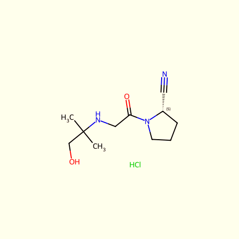 CC(C)(CO)NCC(=O)N1CCC[C@H]1C#N.Cl